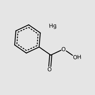 O=C(OO)c1ccccc1.[Hg]